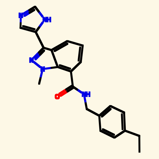 CCc1ccc(CNC(=O)c2cccc3c(-c4cnc[nH]4)nn(C)c23)cc1